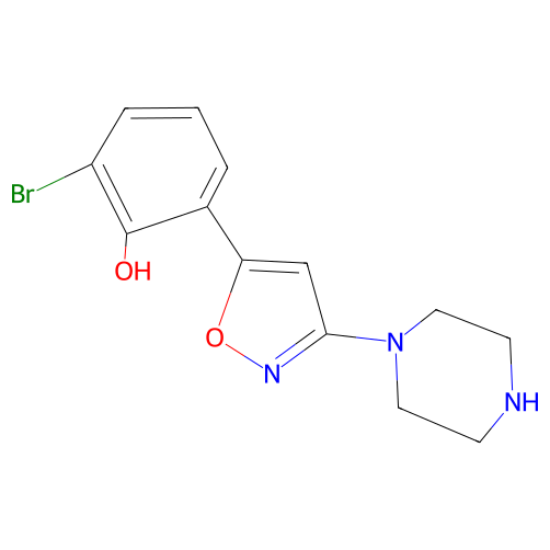 Oc1c(Br)cccc1-c1cc(N2CCNCC2)no1